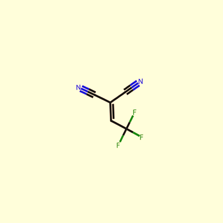 N#CC(C#N)=CC(F)(F)F